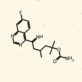 CC(CC(=N)c1ncnc2cc(F)ccc12)CC(C)(C)OC(N)=O